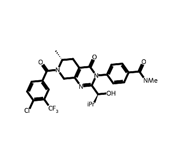 CNC(=O)c1ccc(-n2c([C@@H](O)C(C)C)nc3c(c2=O)C[C@@H](C)N(C(=O)c2ccc(Cl)c(C(F)(F)F)c2)C3)cc1